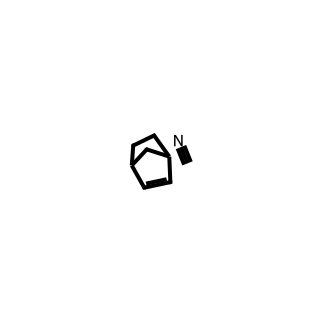 C#N.C1=CC2CCC1C2